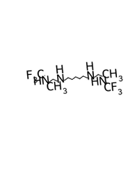 CC(CCNCCCCCCCNCCC(C)NCC(F)(F)F)NCC(F)(F)F